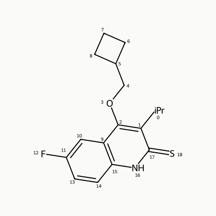 CC(C)c1c(OCC2CCC2)c2cc(F)ccc2[nH]c1=S